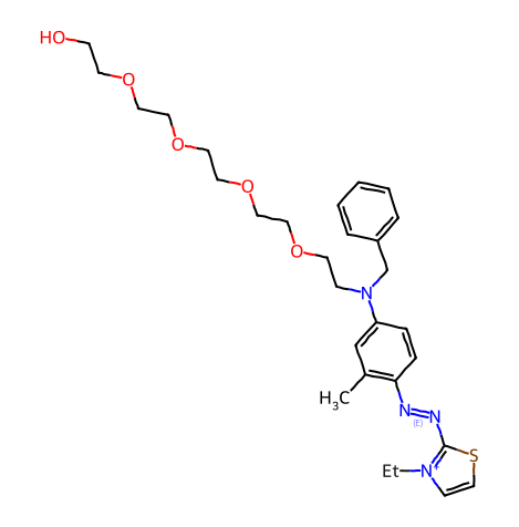 CC[n+]1ccsc1/N=N/c1ccc(N(CCOCCOCCOCCOCCO)Cc2ccccc2)cc1C